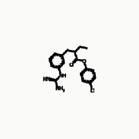 CCC(Cc1cccc(NC(=N)N)c1)C(=O)Oc1ccc(Cl)cc1